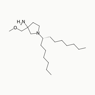 CCCCCCC[C@H](CCCCCC)N1CCC(N)(COC)C1